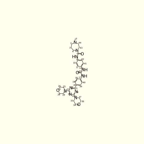 CN1CCCN(C(=O)Nc2ccc(NC(=O)Nc3ccc(-c4nc(N5CCOCC5)nc(N5CCOCC5)n4)cc3)cc2)CC1